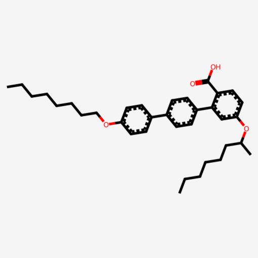 CCCCCCCCOc1ccc(-c2ccc(-c3cc(OC(C)CCCCCC)ccc3C(=O)O)cc2)cc1